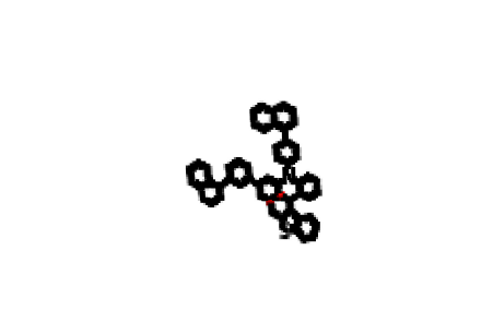 c1cc(-c2cccc(N(c3ccc(-c4cccc5ccccc45)cc3)c3ccccc3-c3cccc4sc5ccccc5c34)c2)cc(-c2cccc3ccccc23)c1